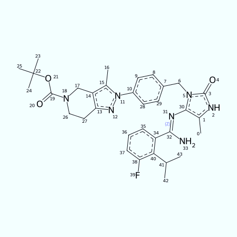 Cc1[nH]c(=O)n(Cc2ccc(-n3nc4c(c3C)CN(C(=O)OC(C)(C)C)CC4)cc2)c1/N=C(\N)c1cccc(F)c1C(C)C